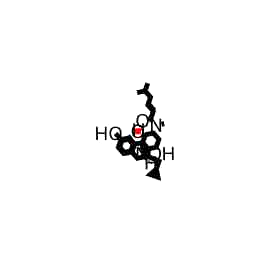 CC(C)CC=CC(=O)N(C)[C@H]1CC[C@@]2(O)[C@H]3Cc4ccc(O)c5c4[C@@]2(CCN3CC2CC2)[C@H]1O5